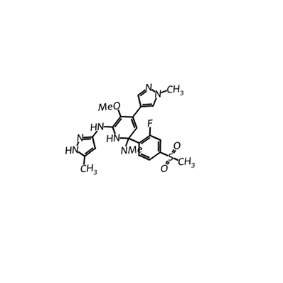 CNC1(c2ccc(S(C)(=O)=O)cc2F)C=C(c2cnn(C)c2)C(OC)=C(Nc2cc(C)[nH]n2)N1